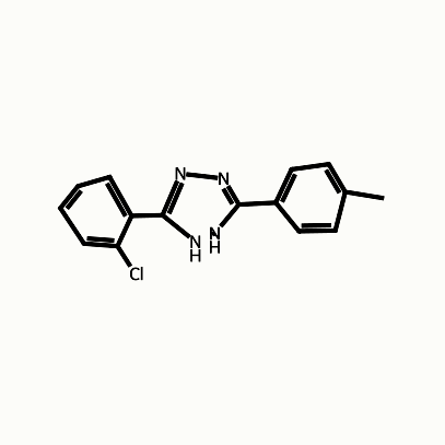 Cc1ccc(C2=NN=C(c3ccccc3Cl)NN2)cc1